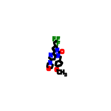 COc1ccc(CN2C(=O)N3CC(CC(F)(F)F)C=C3c3ncc(N4CCOCC4)cc32)cc1